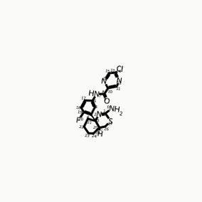 NC1=N[C@@]2(c3cc(NC(=O)c4cnc(Cl)cn4)ccc3F)CCCC[C@H]2CS1